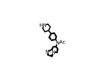 CC(=O)N(c1ccc(C2CCNCC2)cc1)c1ccn2ccnc2c1